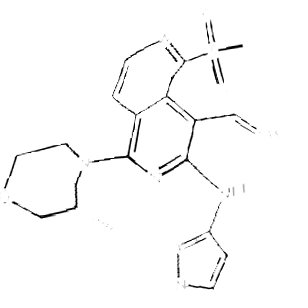 C[C@@H]1COCCN1c1nc(Nc2cc[nH]n2)c(C=N)c2c(S(C)(=O)=O)nccc12